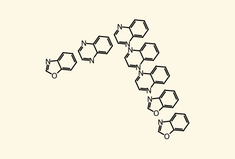 c1ccc2nccnc2c1.c1ccc2nccnc2c1.c1ccc2nccnc2c1.c1ccc2nccnc2c1.c1ccc2ocnc2c1.c1ccc2ocnc2c1.c1ccc2ocnc2c1